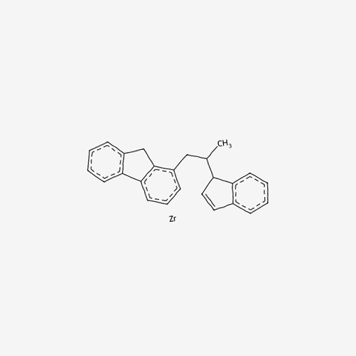 CC(Cc1cccc2c1Cc1ccccc1-2)C1C=Cc2ccccc21.[Zr]